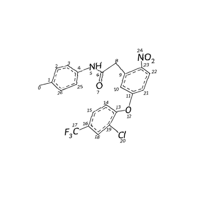 Cc1ccc(NC(=O)Cc2cc(Oc3ccc(C(F)(F)F)cc3Cl)ccc2[N+](=O)[O-])cc1